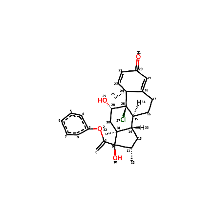 C=C(Oc1ccccc1)[C@@]1(O)[C@@H](C)C[C@H]2[C@@H]3CCC4=CC(=O)C=C[C@]4(C)[C@@]3(Cl)[C@@H](O)C[C@@]21C